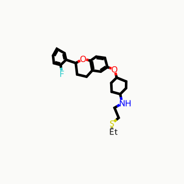 CCSCCNC1CCC(Oc2ccc3c(c2)CCC(c2ccccc2F)O3)CC1